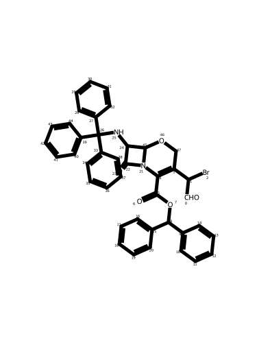 O=CC(Br)C1=C(C(=O)OC(c2ccccc2)c2ccccc2)N2C(=O)C(NC(c3ccccc3)(c3ccccc3)c3ccccc3)C2OC1